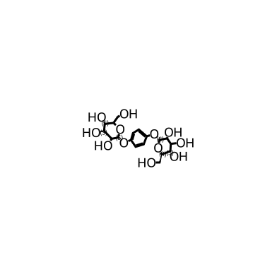 OCC1O[C@@H](Oc2ccc(O[C@@H]3O[C@H](CO)[C@@H](O)C(O)C3O)cc2)C(O)[C@@H](O)[C@@H]1O